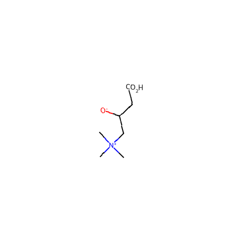 C[N+](C)(C)CC([O-])CC(=O)O